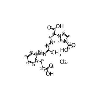 CC(N=NCC(C(=O)O)[n+]1ccn(C(=O)O)c1)=NN=c1ccccn1CCC(=O)O.[Cl-]